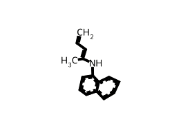 C=C/C=C(\C)Nc1cccc2ccccc12